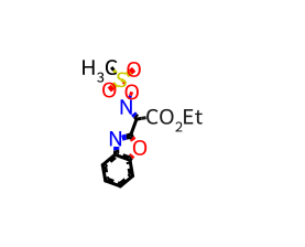 CCOC(=O)/C(=N\OS(C)(=O)=O)c1nc2ccccc2o1